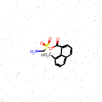 NCS(=O)(=O)OC(=O)c1cccc2cccc(C(=O)O)c12